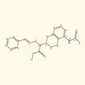 CCC(=O)N(CC=Cc1ccccc1)C1CCc2c(cccc2NC(C)=O)C1